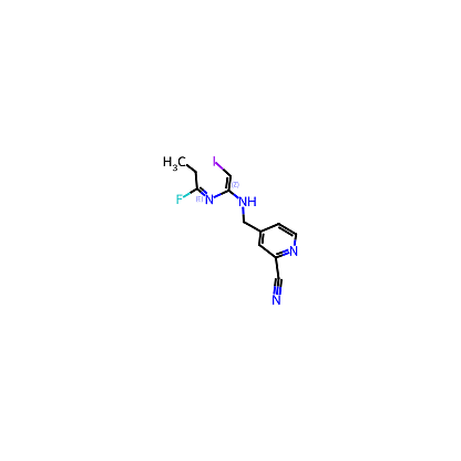 CC/C(F)=N\C(=C/I)NCc1ccnc(C#N)c1